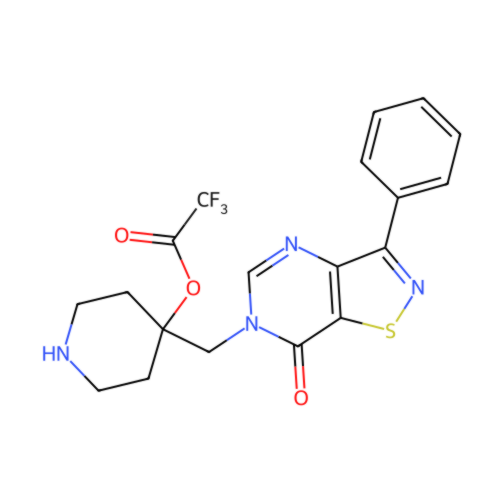 O=C(OC1(Cn2cnc3c(-c4ccccc4)nsc3c2=O)CCNCC1)C(F)(F)F